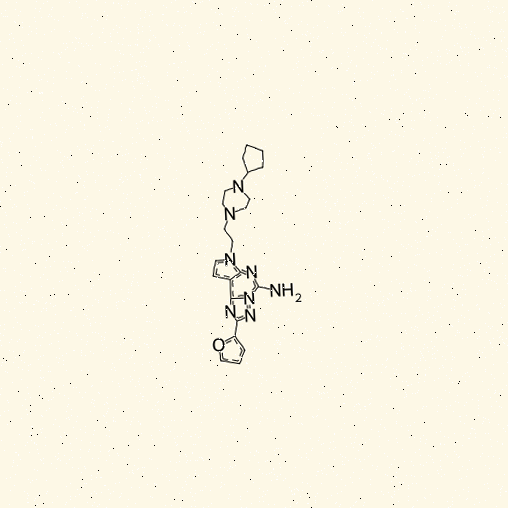 Nc1nc2c(ccn2CCN2CCN(C3CCCC3)CC2)c2nc(-c3ccco3)nn12